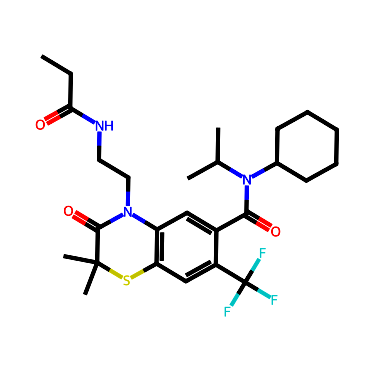 CCC(=O)NCCN1C(=O)C(C)(C)Sc2cc(C(F)(F)F)c(C(=O)N(C(C)C)C3CCCCC3)cc21